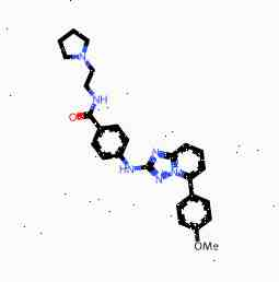 COc1ccc(-c2cccc3nc(Nc4ccc(C(=O)NCCN5CCCC5)cc4)nn23)cc1